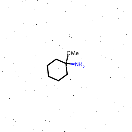 COC1(N)CCCCC1